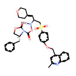 Cc1cc(COc2ccc(S(=O)(=O)CC(C=C3CCOCC3)N(C=O)OC(=O)N3C(=O)OC[C@H]3Cc3ccccc3)cc2)c2ccccc2n1